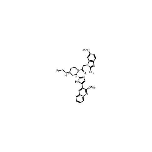 COc1ccc2nc(C(F)(F)F)n(CC(=O)N3CC[C@H](NCC(C)C)C[C@H]3c3ncc(-c4cc5ccccc5nc4OC)[nH]3)c2c1